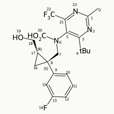 Cc1nc(C(C)(C)C)c(N(C[C@@]2(c3cccc(F)c3)C[C@H]2CO)C(=O)O)c(C(F)(F)F)n1